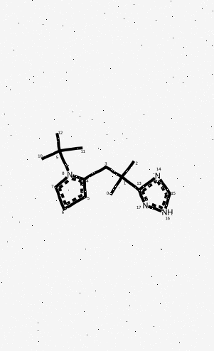 CC(C)(Cc1cccn1C(C)(C)C)c1nc[nH]n1